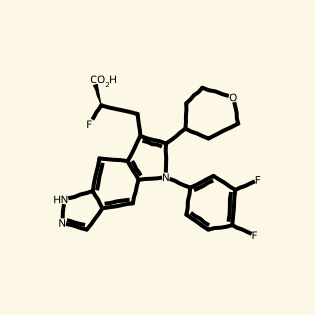 O=C(O)[C@H](F)Cc1c(C2CCOCC2)n(-c2ccc(F)c(F)c2)c2cc3cn[nH]c3cc12